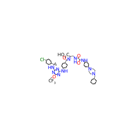 O=C(NC/C(=N/C(=O)c1ccc(Nc2nc(NC3(c4ccc(Cl)cc4)CC3)nc(OCC(F)(F)F)n2)cc1)C(=O)O)C(=O)Nc1ccc(N2CCN(Cc3ccccc3)CC2)cc1